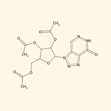 CC(=O)OCC1OC(n2nnc3c(=O)[nH]ncc32)C(OC(C)=O)C1OC(C)=O